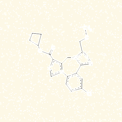 COCc1nnc2n1Cc1c(C(=O)OC3CCC3)ncn1-c1ccc(Cl)cc1-2